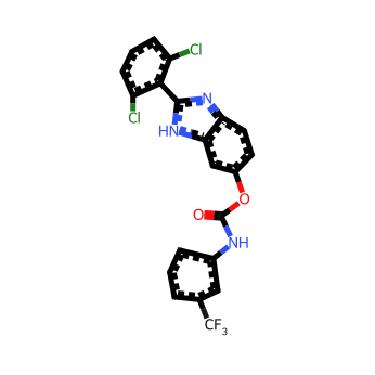 O=C(Nc1cccc(C(F)(F)F)c1)Oc1ccc2nc(-c3c(Cl)cccc3Cl)[nH]c2c1